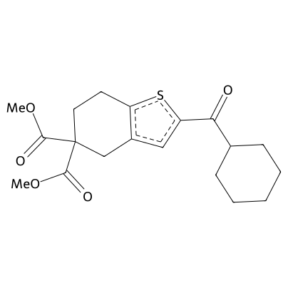 COC(=O)C1(C(=O)OC)CCc2sc(C(=O)C3CCCCC3)cc2C1